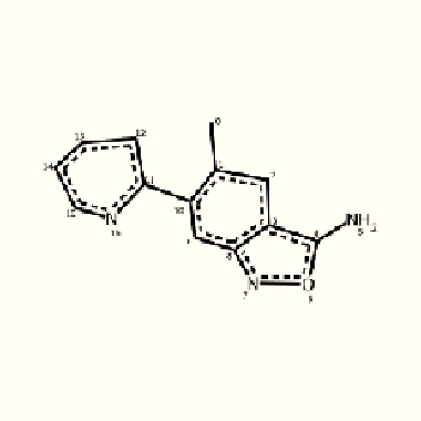 Cc1cc2c(N)onc2cc1-c1ccccn1